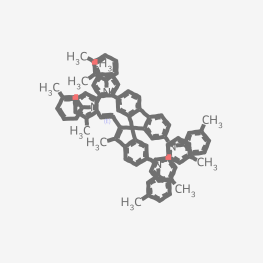 CC1=CC(N(/C=C/C2=C(C)c3ccc(N(c4cccc(C)c4)c4cccc(C)c4)cc3C23c2cc(N(c4cccc(C)c4)c4cccc(C)c4)ccc2-c2ccc(N(c4cccc(C)c4)C4C=CC=C(C)C4C)cc23)c2cccc(C)c2)CC=C1